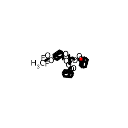 CC(F)(F)C(=O)OC12CC3CC(C1)C1(COC(COC(=O)C45CC6CC(C4)C(=O)C(C6)C5)(COC(=O)C45CC6CC(C4)C(=O)C(C6)C5)CO1)C(C3)C2